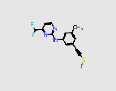 Cc1cc(C#CSI)cc(Nc2nccc(C(F)F)n2)c1